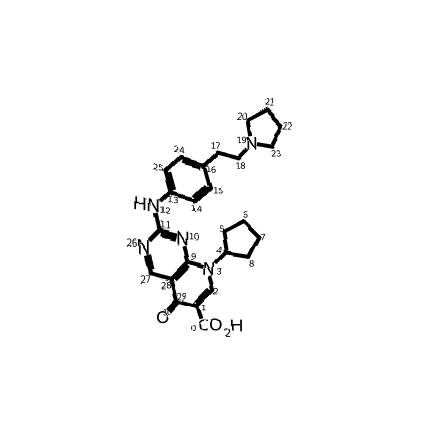 O=C(O)c1cn(C2CCCC2)c2nc(Nc3ccc(CCN4CCCC4)cc3)ncc2c1=O